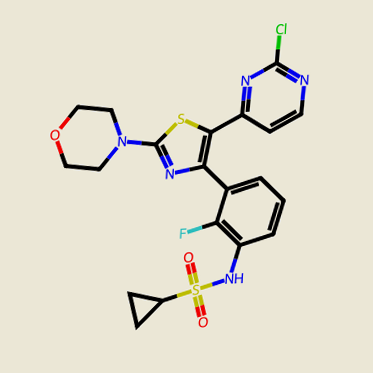 O=S(=O)(Nc1cccc(-c2nc(N3CCOCC3)sc2-c2ccnc(Cl)n2)c1F)C1CC1